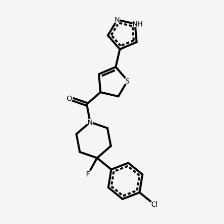 O=C(C1C=C(c2cn[nH]c2)SC1)N1CCC(F)(c2ccc(Cl)cc2)CC1